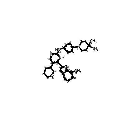 CC1(N)CCN(c2ccc(Nc3ncc(C4CCCOC4)c(-c4cc5cccc(N)c5o4)n3)cc2)CC1